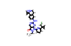 O=c1c2cnc(Nc3ccc4c(c3)CCNC43CC3)nc2n(-c2cccc(C3(CF)CC3)n2)n1CC(F)(F)F